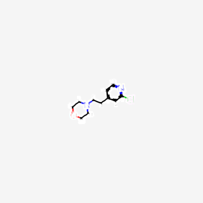 Clc1cc(CCN2CCOCC2)ccn1